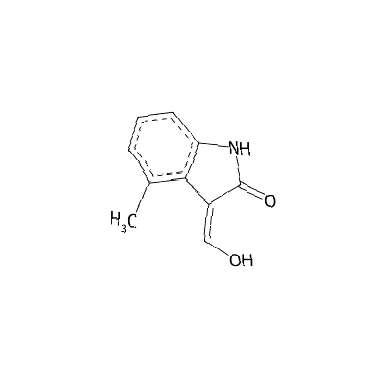 Cc1cccc2c1C(=CO)C(=O)N2